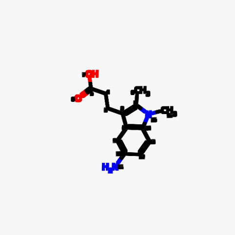 Cc1c(CCC(=O)O)c2cc(N)ccc2n1C